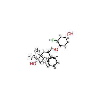 CC(C)(CC(CO[C@H]1CC[C@@H](O)C[C@@H]1F)c1ccccc1)[Si](C)(C)O